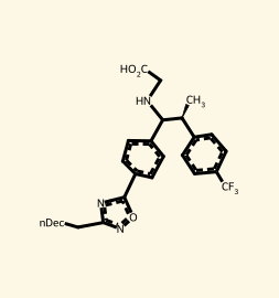 CCCCCCCCCCCc1noc(-c2ccc(C(NCC(=O)O)[C@@H](C)c3ccc(C(F)(F)F)cc3)cc2)n1